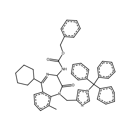 Cc1cccc2c1N(Cc1cn(C(c3ccccc3)(c3ccccc3)c3ccccc3)cn1)C(=O)C(NC(=O)OCc1ccccc1)N=C2C1CCCCC1